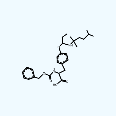 CCC(NC(C)(C)CCC(C)C)Oc1ccc(CC(NC(=O)OCc2ccccc2)C(=O)O)cc1